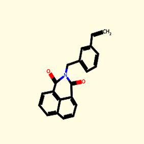 C=Cc1cccc(CN2C(=O)c3cccc4cccc(c34)C2=O)c1